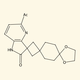 CC(=O)c1ccc2c(n1)C1(CC3(CCC4(CC3)OCCO4)C1)C(=O)N2